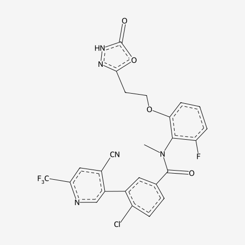 CN(C(=O)c1ccc(Cl)c(-c2cnc(C(F)(F)F)cc2C#N)c1)c1c(F)cccc1OCCc1n[nH]c(=O)o1